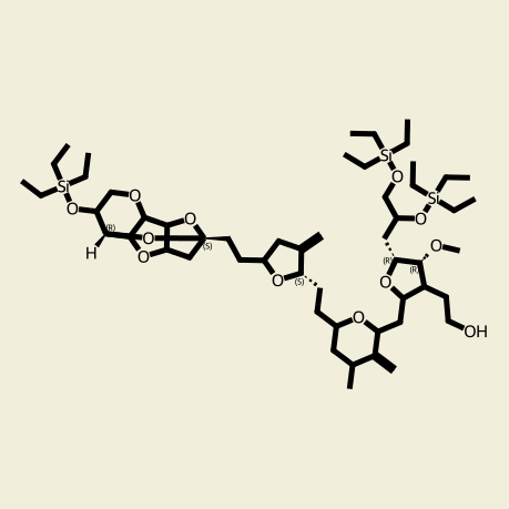 C=C1C(C)CC(CC[C@@H]2OC(CC[C@@]34CC5OC6C(OCC(O[Si](CC)(CC)CC)[C@@H]6O3)C5O4)CC2=C)OC1CC1O[C@H](CC(CO[Si](CC)(CC)CC)O[Si](CC)(CC)CC)[C@H](OC)C1CCO